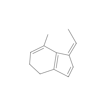 C/C=C1/C=CC2=C1C(C)=CCC2